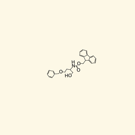 O=C(NC(CO)CCOCc1ccccc1)OCC1c2ccccc2-c2ccccc21